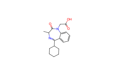 CC1N=C(C2CCCCC2)c2ccccc2N(CC(=O)O)C1=O